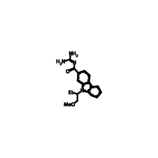 CCC(COC)n1c2ccccc2c2ccc(C(=O)N=C(N)N)cc21